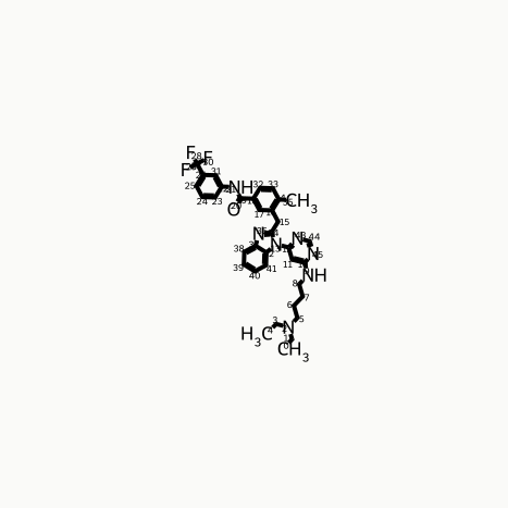 CCN(CC)CCCCNc1cc(-n2c(Cc3cc(C(=O)Nc4cccc(C(F)(F)F)c4)ccc3C)nc3ccccc32)ncn1